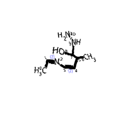 C/C=N\C=C/C(C)C(O)NN